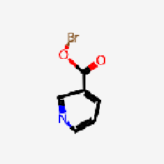 O=C(OBr)c1cccnc1